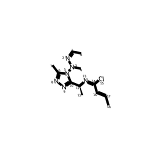 C/C=N\N(C)n1c(C)nnc1[C@H](C)/N=C(Cl)\C=C\C